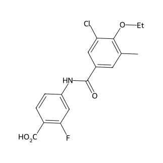 CCOc1c(C)cc(C(=O)Nc2ccc(C(=O)O)c(F)c2)cc1Cl